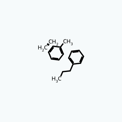 C=C.CCCc1ccccc1.Cc1ccccc1